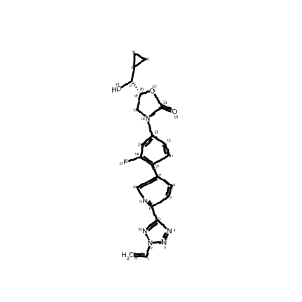 C=Cn1nnc(-c2ccc(-c3ccc(N4C[C@H](C(O)C5CC5)OC4=O)cc3F)cn2)n1